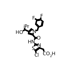 CC(C)C(O)c1cc(C(=O)Nc2nc(CC(=O)O)c(Cl)s2)n(Cc2ccc(F)c(F)c2)c1